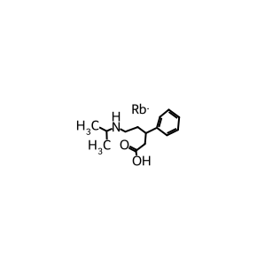 CC(C)NCCC(CC(=O)O)c1ccccc1.[Rb]